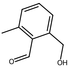 Cc1cccc(CO)c1C=O